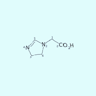 O=C(O)CN1C=NCC1